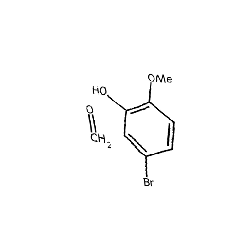 C=O.COc1ccc(Br)cc1O